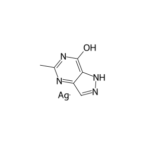 Cc1nc(O)c2[nH]ncc2n1.[Ag]